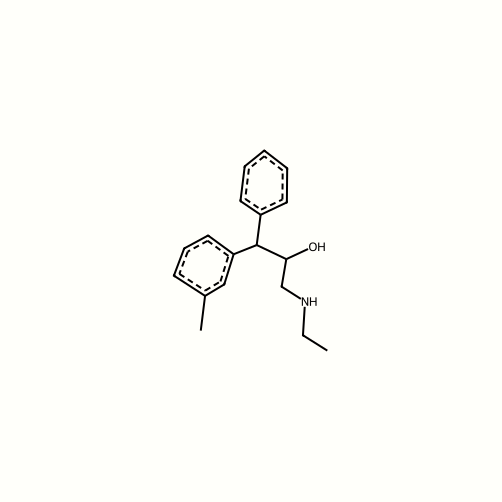 CCNCC(O)C(c1ccccc1)c1cccc(C)c1